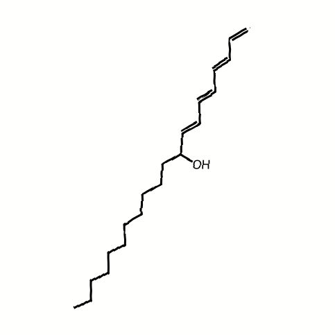 [CH]=C/C=C/C=C/C=C/C(O)CCCCCCCCCCC